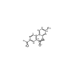 CC(=O)c1ccc(-c2ccc(F)cc2)c([N+](=O)[O-])c1